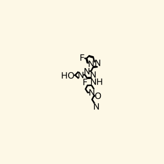 N#CCC(=O)N1CCCC(Nc2nc(-c3cnc4ccc(F)cn34)nc(N3CC(O)C3)c2F)C1